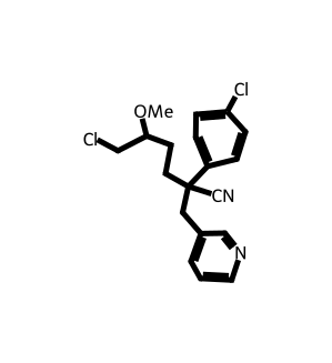 COC(CCl)CCC(C#N)(Cc1cccnc1)c1ccc(Cl)cc1